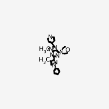 Cc1cn(-c2ccccc2)nc1-c1nc(N2CCOCC2)c2nc(-c3ccncc3)n(C)c2n1